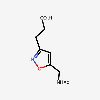 CC(=O)NCc1cc(CCC(=O)O)no1